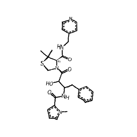 Cn1cccc1C(=O)NC(Cc1ccccc1)C(O)C(=O)N1CSC(C)(C)[C@H]1C(=O)NCc1ccncc1